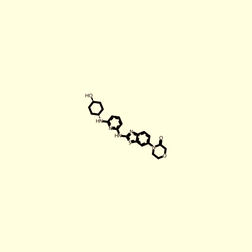 O=C1COCCN1c1ccc2nc(Nc3cccc(N[C@H]4CC[C@H](O)CC4)n3)sc2c1